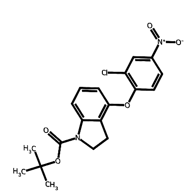 CC(C)(C)OC(=O)N1CCc2c(Oc3ccc([N+](=O)[O-])cc3Cl)cccc21